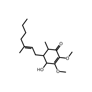 CCCC/C(C)=C/CC1C(C)C(=O)C(OC)=C(OC)C1O